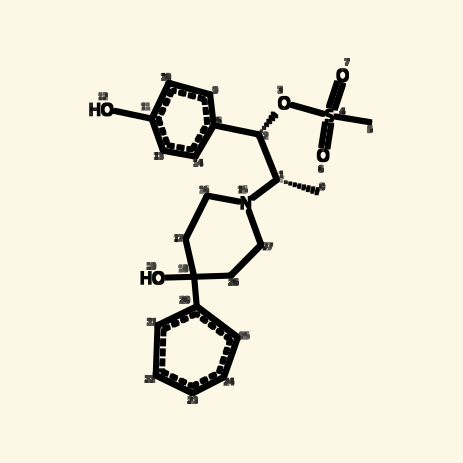 C[C@@H]([C@@H](OS(C)(=O)=O)c1ccc(O)cc1)N1CCC(O)(c2ccccc2)CC1